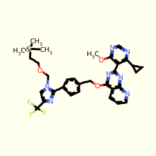 COc1ncnc(C2CC2)c1-c1nc(OCc2ccc(-c3nc(C(F)(F)F)cn3COCC[Si](C)(C)C)cc2)c2cccnc2n1